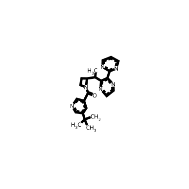 CC(c1nccnc1-c1ncccn1)C1CCN1C(=O)c1cncc(C(C)(C)C)c1